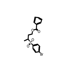 CC(CCOC(=O)c1ccccc1)S(=O)(=O)c1ccc(Br)cc1